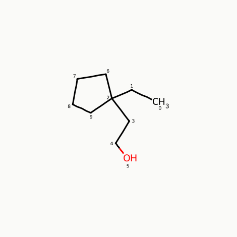 CCC1(CCO)CCCC1